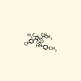 Cc1ccc(NC(=O)Oc2c(-c3ccc(Cl)cc3)c(C)cn2CC(C)C)cc1